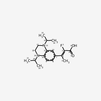 CC(=C(F)C(=O)O)c1ccc2c(c1)N(C(C)C)CCN2C(C)C